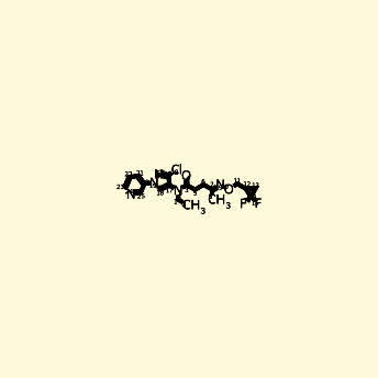 CCN(C(=O)CC/C(C)=N/OCC1CC1(F)F)c1cn(-c2cccnc2)nc1Cl